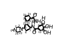 CN1CCN(c2ccc(NC(=O)c3cc(O)c(O)c(O)c3)cc2)CC1.NC(=O)c1ccccc1